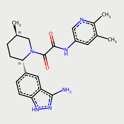 Cc1cc(NC(=O)C(=O)N2C[C@H](C)CC[C@H]2c2ccc3[nH]nc(N)c3c2)cnc1C